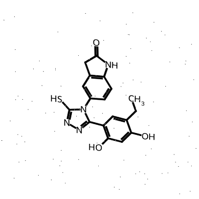 CCc1cc(-c2nnc(S)n2-c2ccc3c(c2)CC(=O)N3)c(O)cc1O